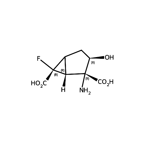 N[C@@]1(C(=O)O)[C@H](O)CC2[C@H]1[C@@]2(F)C(=O)O